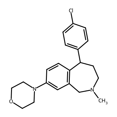 CN1CCC(c2ccc(Cl)cc2)c2ccc(N3CCOCC3)cc2C1